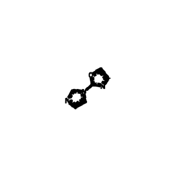 [c]1coc(-n2ccnc2)n1